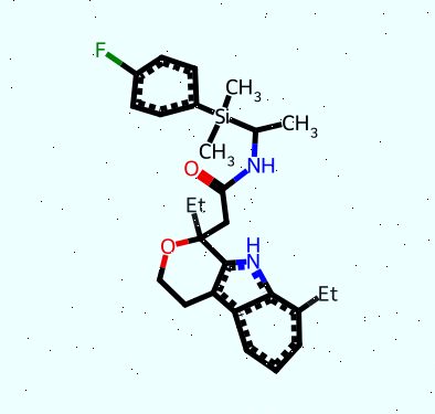 CCc1cccc2c3c([nH]c12)C(CC)(CC(=O)NC(C)[Si](C)(C)c1ccc(F)cc1)OCC3